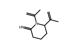 C=C(C)C1CCCC(=N)N1C(=C)C